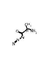 C[C@@H](N)C(=O)N=[N+]=[N-]